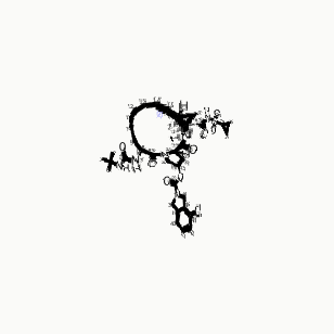 CC(C)(C)NC(=O)N[C@H]1CCCCC/C=C\[C@@H]2C[C@@]2(C(=O)NS(=O)(=O)C2CC2)NC(=O)[C@@H]2C[C@@H](OC(=O)N3Cc4cccc(Cl)c4C3)CN2C1=O